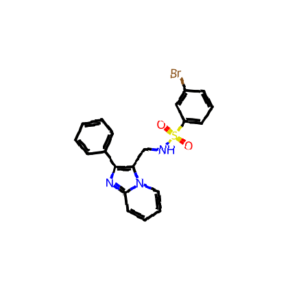 O=S(=O)(NCc1c(-c2ccccc2)nc2ccccn12)c1cccc(Br)c1